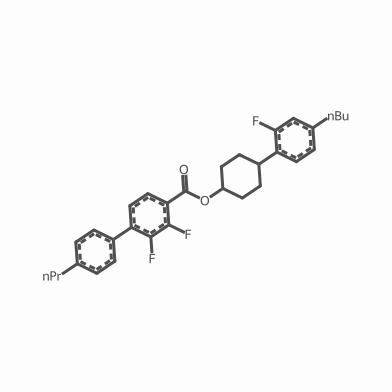 CCCCc1ccc(C2CCC(OC(=O)c3ccc(-c4ccc(CCC)cc4)c(F)c3F)CC2)c(F)c1